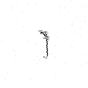 CCCCCCCCCCCCCCCC(=O)NC(=O)n1cnc(C[C@H](N)C(=O)O)c1